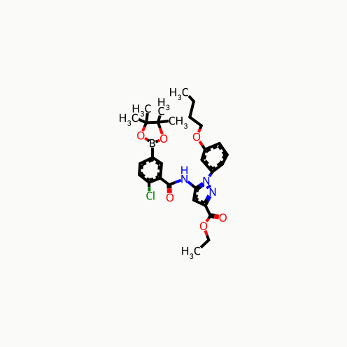 CCCCOc1cccc(-n2nc(C(=O)OCC)cc2NC(=O)c2cc(B3OC(C)(C)C(C)(C)O3)ccc2Cl)c1